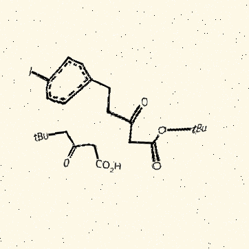 CC(C)(C)CC(=O)CC(=O)O.CC(C)(C)OC(=O)CC(=O)CCc1ccc(I)cc1